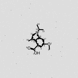 COc1cc(C(=O)O)c2c(C)cn(C(C)C)c2c1